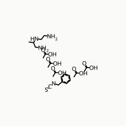 CC(=O)O.CC(=O)O.CC(=O)O.CC(=O)O.CC(=O)O.CC(CN)NCCN.S=C=NCc1ccccc1